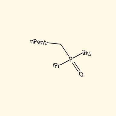 CCCCCCP(=O)(C(C)C)C(C)CC